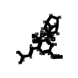 CSc1nc(/N=C/N(C)C)c(Br)c(N2CC3CCC(C2)N3C(=O)OC(C)(C)C)n1